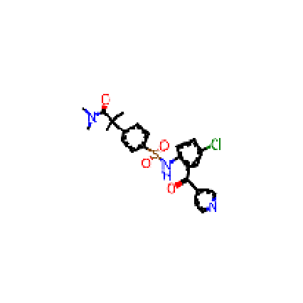 CN(C)C(=O)C(C)(C)c1ccc(S(=O)(=O)Nc2ccc(Cl)cc2C(=O)c2ccncc2)cc1